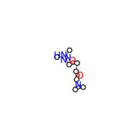 c1ccc(C2=NC(c3cccc4c3oc3cccc(-c5ccc6c(c5)oc5cc(-n7c8ccccc8c8ccccc87)ccc56)c34)=NC(c3ccccc3)N2)cc1